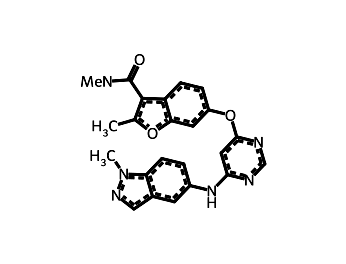 CNC(=O)c1c(C)oc2cc(Oc3cc(Nc4ccc5c(cnn5C)c4)ncn3)ccc12